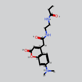 CCC(=O)NCCNC(=O)Cc1cc(=O)oc2cc(N(C)C)ccc12